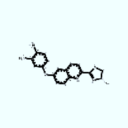 C[C@H]1CSC(c2ccc3cc(Oc4ccc(N)c(N)c4)ccc3n2)=N1